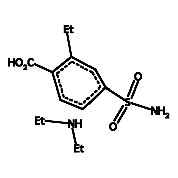 CCNCC.CCc1cc(S(N)(=O)=O)ccc1C(=O)O